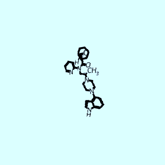 C[C@H](CN(C(=O)[C@H]1CC2CCC1CC2)c1ccccn1)N1CCN(c2cccc3[nH]ccc23)CC1